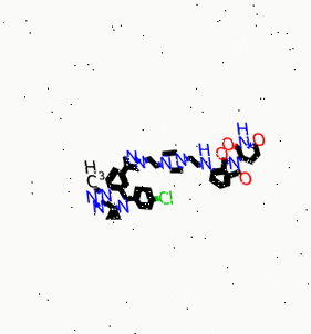 Cc1nnc2n1-c1ccc(-c3cnn(CCN4CCN(CCNc5cccc6c5C(=O)N(C5CCC(=O)NC5=O)C6=O)CC4)c3)cc1C(c1ccc(Cl)cc1)=NC21CC1